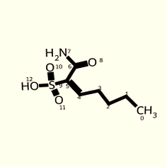 CCCC/C=C(\C(N)=O)S(=O)(=O)O